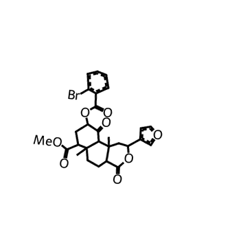 COC(=O)C1CC(OC(=O)c2ccccc2Br)C(=O)C2C1(C)CCC1C(=O)OC(c3ccoc3)CC12C